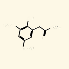 CCCCCc1cc(CCCCC)c(O)c(CC(=O)OC)c1